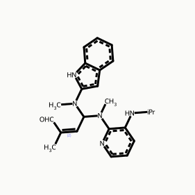 C/C(C=O)=C/C(N(C)c1cc2ccccc2[nH]1)N(C)c1ncccc1NC(C)C